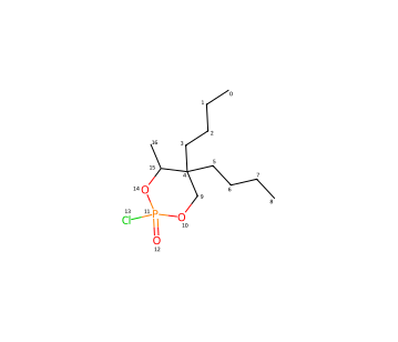 CCCCC1(CCCC)COP(=O)(Cl)OC1C